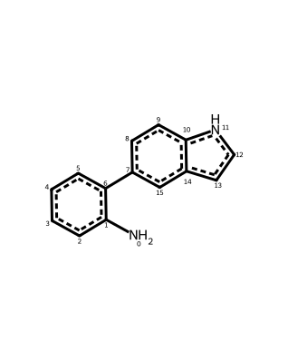 Nc1ccccc1-c1ccc2[nH]ccc2c1